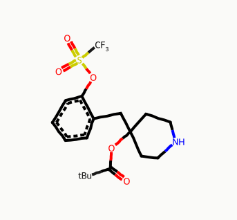 CC(C)(C)C(=O)OC1(Cc2ccccc2OS(=O)(=O)C(F)(F)F)CCNCC1